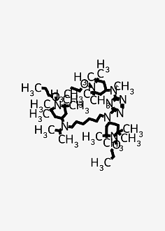 CCCON1C(C)(C)CC(N(C)c2ncnc(N(CCCCCCN(C(C)C)C3CC(C)(C)N(OCCC)C(C)(C)C3)C3CC(C)(C)N(OCCC)C(C)(C)C3)n2)CC1(C)C